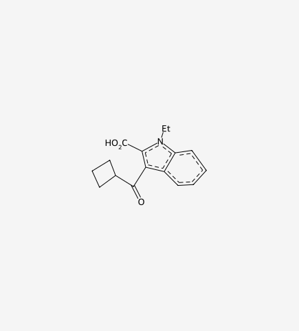 CCn1c(C(=O)O)c(C(=O)C2CCC2)c2ccccc21